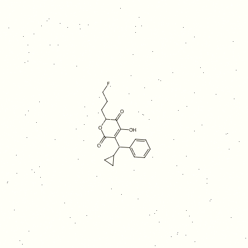 O=C1OC(CCCF)C(=O)C(O)=C1C(c1ccccc1)C1CC1